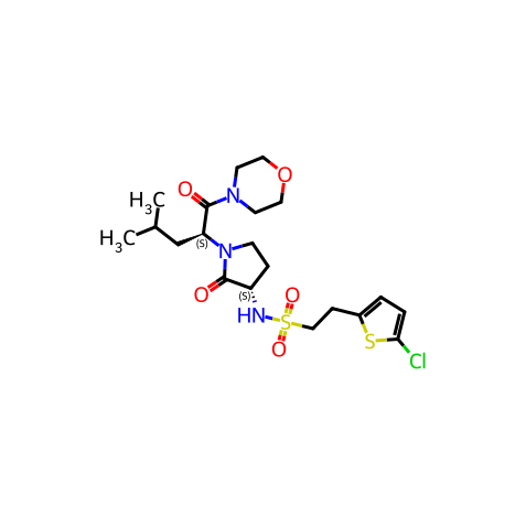 CC(C)C[C@@H](C(=O)N1CCOCC1)N1CC[C@H](NS(=O)(=O)CCc2ccc(Cl)s2)C1=O